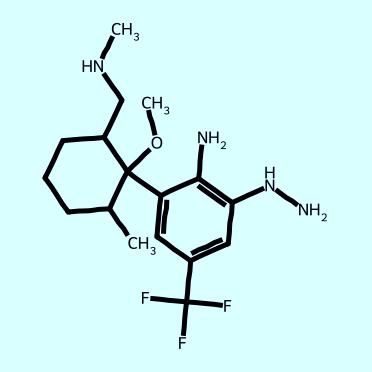 CNCC1CCCC(C)C1(OC)c1cc(C(F)(F)F)cc(NN)c1N